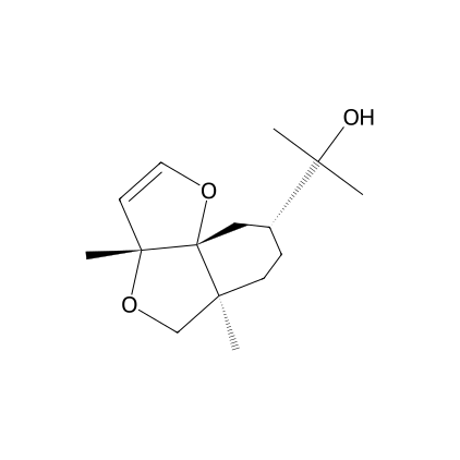 CC(C)(O)[C@@H]1CC[C@@]2(C)CO[C@]3(C)C=CO[C@]23C1